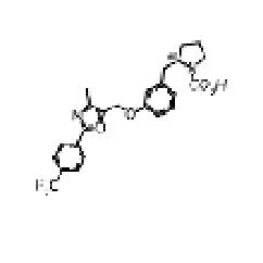 Cc1nc(-c2ccc(C(F)(F)F)cc2)oc1COc1cccc(C[C@H]2CCCN2C(=O)O)c1